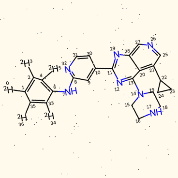 [2H]c1c([2H])c([2H])c(Nc2cc(-c3nc(N4CCNCC4)c4c(C5CC5)cncc4n3)ccn2)c([2H])c1[2H]